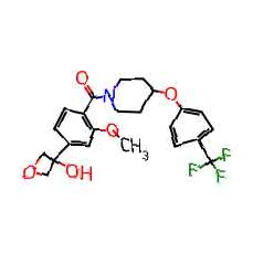 COc1cc(C2(O)COC2)ccc1C(=O)N1CCC(Oc2ccc(C(F)(F)F)cc2)CC1